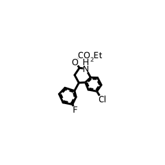 CCOC(=O)OC1CC(c2cccc(F)c2)c2cc(Cl)ccc2N1